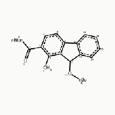 CCCCCCCCCC(=O)c1ccc2c(c1C)C(OCCCC)c1ccccc1-2